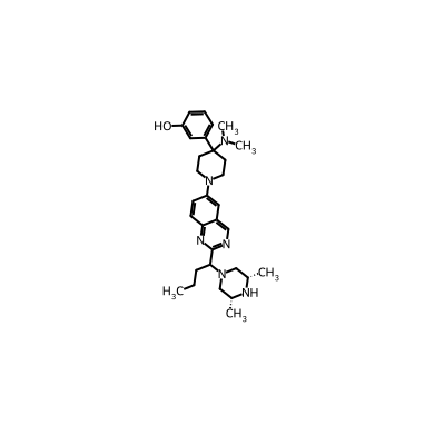 CCCC(c1ncc2cc(N3CCC(c4cccc(O)c4)(N(C)C)CC3)ccc2n1)N1C[C@@H](C)N[C@@H](C)C1